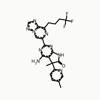 Cc1ccc(C2(C)C(=O)Nc3nc(-c4cn5ncnc5c(CCCC(F)(F)F)n4)nc(N)c32)nc1